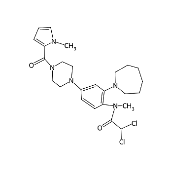 CN(C(=O)C(Cl)Cl)c1ccc(N2CCN(C(=O)c3cccn3C)CC2)cc1N1CCCCCC1